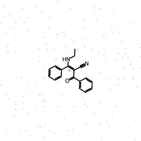 CCN/C(=C(\C#N)C(=O)c1ccccc1)c1ccccc1